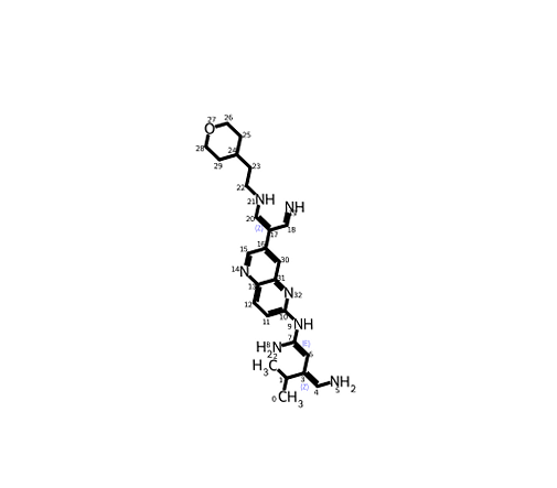 CC(C)C(=C/N)/C=C(\N)Nc1ccc2ncc(/C(C=N)=C/NCCC3CCOCC3)cc2n1